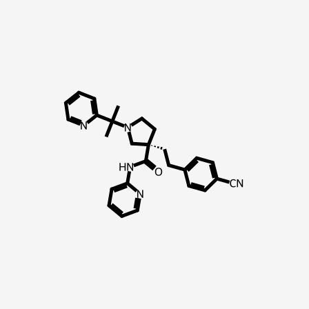 CC(C)(c1ccccn1)N1CC[C@@](CCc2ccc(C#N)cc2)(C(=O)Nc2ccccn2)C1